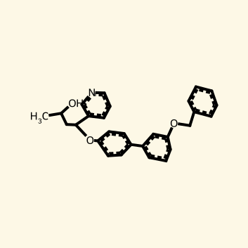 CC(O)CC(Oc1ccc(-c2cccc(OCc3ccccc3)c2)cc1)c1cccnc1